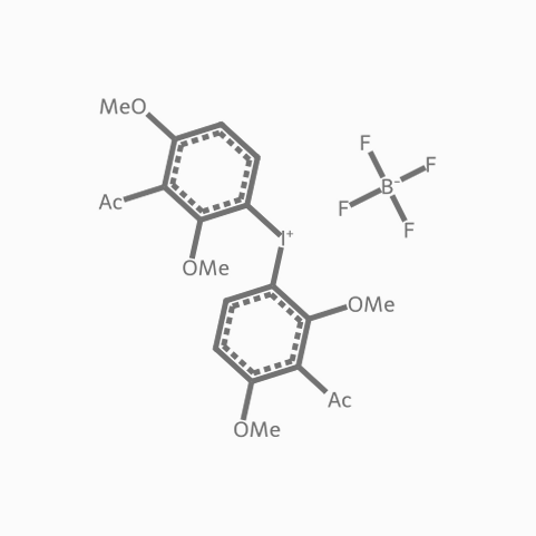 COc1ccc([I+]c2ccc(OC)c(C(C)=O)c2OC)c(OC)c1C(C)=O.F[B-](F)(F)F